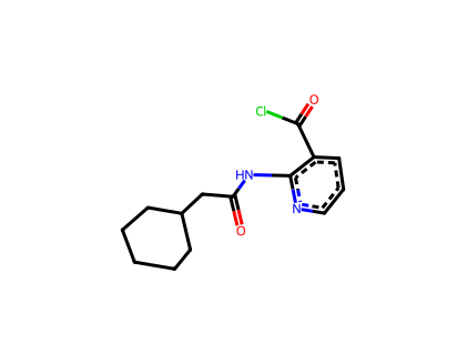 O=C(CC1CCCCC1)Nc1ncccc1C(=O)Cl